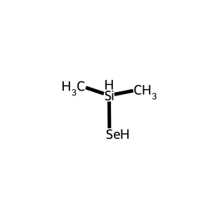 C[SiH](C)[SeH]